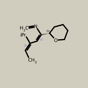 C=N/C(=C\C(=C/C)C(C)C)[C@@H]1CCCCO1